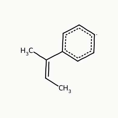 C/C=C(/C)c1cc[c]cc1